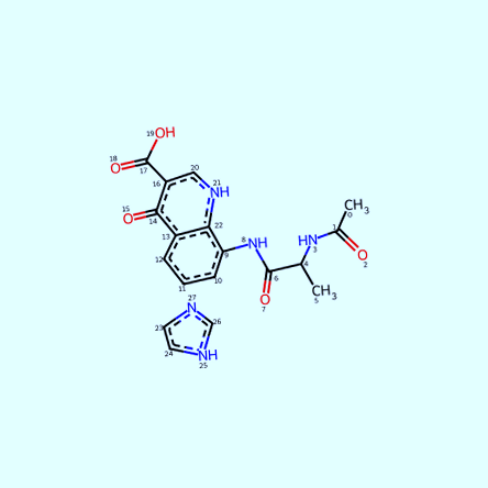 CC(=O)NC(C)C(=O)Nc1cccc2c(=O)c(C(=O)O)c[nH]c12.c1c[nH]cn1